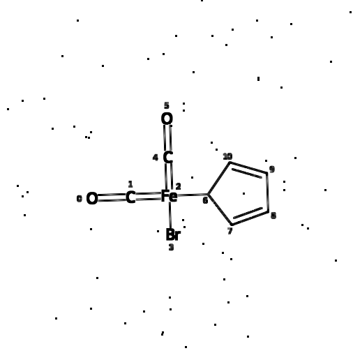 O=[C]=[Fe]([Br])(=[C]=O)[CH]1C=CC=C1